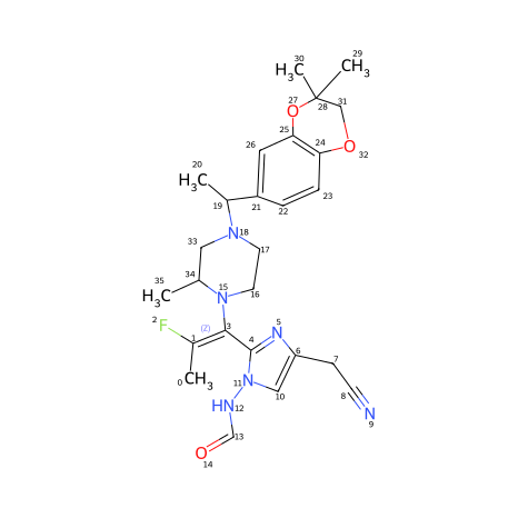 C/C(F)=C(\c1nc(CC#N)cn1NC=O)N1CCN(C(C)c2ccc3c(c2)OC(C)(C)CO3)CC1C